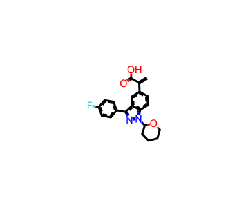 C=C(C(=O)O)c1ccc2c(c1)c(-c1ccc(F)cc1)nn2C1CCCCO1